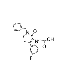 O=C(O)Cn1c2c(c3cc(F)ccc31)CCN(Cc1ccccc1)C2=O